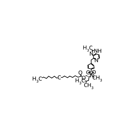 CCCCCCCCCCCCCCCC(=O)OC[C@H](CC(C)C)N(C)S(=O)(=O)c1ccc(Cc2nccc3[nH]c(C)nc23)cc1